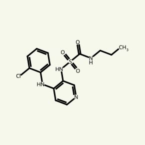 CCCNC(=O)S(=O)(=O)Nc1cnccc1Nc1ccccc1Cl